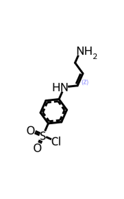 NC/C=C\Nc1ccc(S(=O)(=O)Cl)cc1